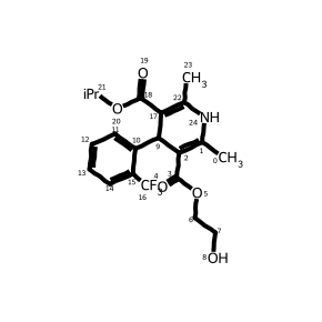 CC1=C(C(=O)OCCO)C(c2ccccc2C(F)(F)F)C(C(=O)OC(C)C)=C(C)N1